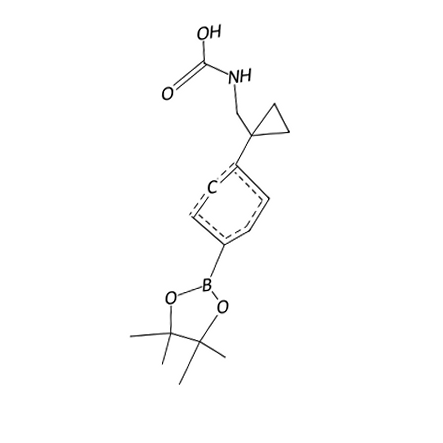 CC1(C)OB(c2ccc(C3(CNC(=O)O)CC3)cc2)OC1(C)C